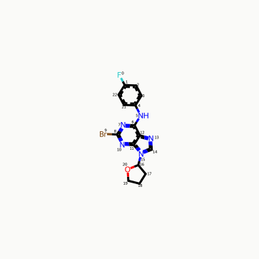 Fc1ccc(Nc2nc(Br)nc3c2ncn3C2CCCO2)cc1